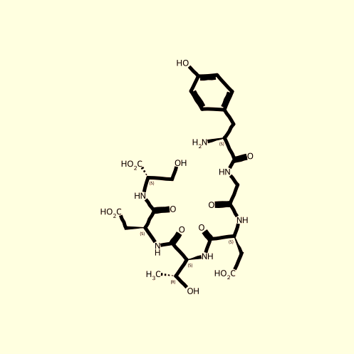 C[C@@H](O)[C@H](NC(=O)[C@H](CC(=O)O)NC(=O)CNC(=O)[C@@H](N)Cc1ccc(O)cc1)C(=O)N[C@@H](CC(=O)O)C(=O)N[C@@H](CO)C(=O)O